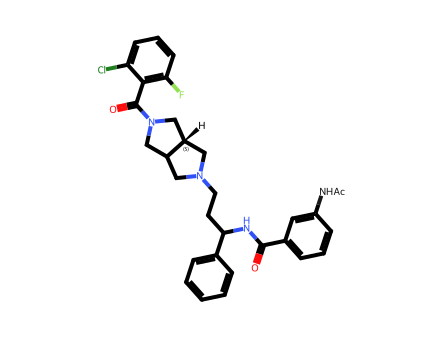 CC(=O)Nc1cccc(C(=O)NC(CCN2CC3CN(C(=O)c4c(F)cccc4Cl)C[C@@H]3C2)c2ccccc2)c1